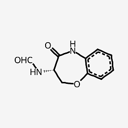 O=CN[C@H]1COc2ccccc2NC1=O